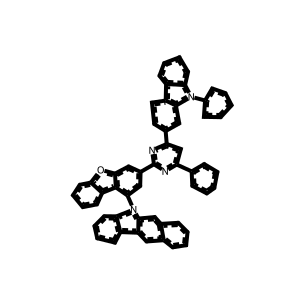 c1ccc(-c2cc(-c3ccc4c5ccccc5n(-c5ccccc5)c4c3)nc(-c3cc(-n4c5ccccc5c5cc6ccccc6cc54)c4c(c3)oc3ccccc34)n2)cc1